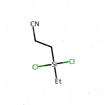 CC[Si](Cl)(Cl)CCC#N